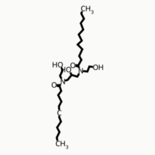 CCCCCCCCCCCC(=O)N(CCO)CC(O)CN(CCO)C(=O)CCCCCCCCCCC